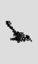 Cc1ncsc1-c1ccc(CNC(=O)[C@@H]2C[C@@H](O)CN2C(=O)[C@@H](NC(=O)COCCCOCCOCCN)C(C)(C)C)cc1